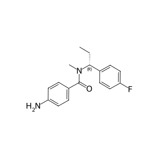 CC[C@H](c1ccc(F)cc1)N(C)C(=O)c1ccc(N)cc1